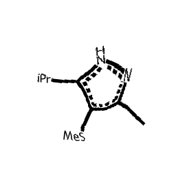 CSc1c(C)n[nH]c1C(C)C